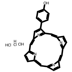 Cl.Cl.Cl.Oc1ccc(C2=CC3=CC4=NC(=CC5=NC(=CC6=NC(=CC2=N3)C=C6)C=C5)C=C4)cc1